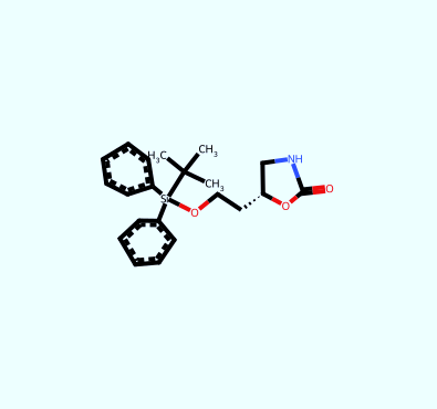 CC(C)(C)[Si](OCC[C@@H]1CNC(=O)O1)(c1ccccc1)c1ccccc1